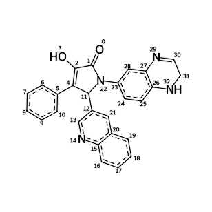 O=C1C(O)=C(c2ccccc2)C(c2cnc3ccccc3c2)N1c1ccc2c(c1)N=CCN2